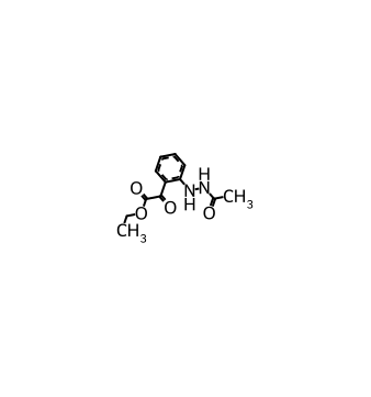 CCOC(=O)C(=O)c1ccccc1NNC(C)=O